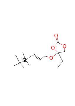 CCC1(OCC=C[Si](C)(C)C(C)(C)C)COC(=O)O1